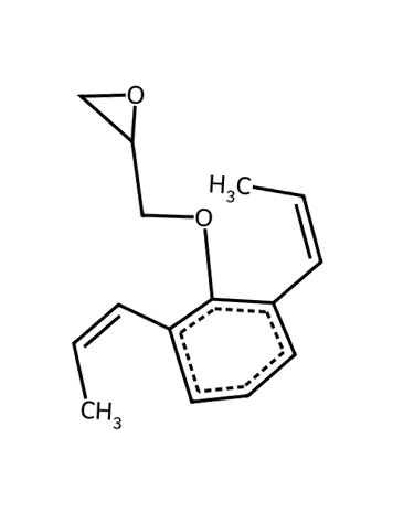 C/C=C\c1cccc(/C=C\C)c1OCC1CO1